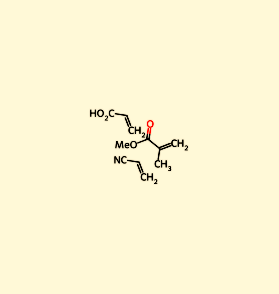 C=C(C)C(=O)OC.C=CC#N.C=CC(=O)O